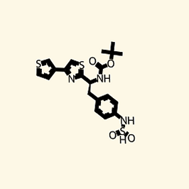 CC(C)(C)OC(=O)N[C@@H](Cc1ccc(N[SH](=O)=O)cc1)c1nc(-c2ccsc2)cs1